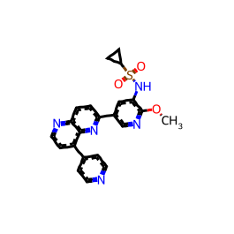 COc1ncc(-c2ccc3nccc(-c4ccncc4)c3n2)cc1NS(=O)(=O)C1CC1